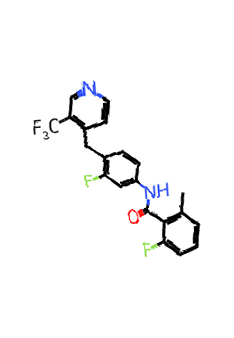 Cc1cccc(F)c1C(=O)Nc1ccc(Cc2ccncc2C(F)(F)F)c(F)c1